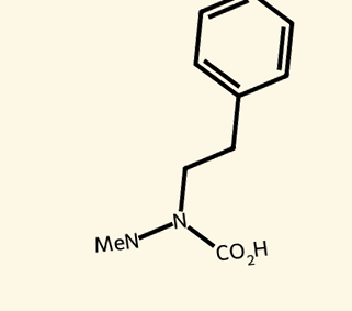 CNN(CCc1ccccc1)C(=O)O